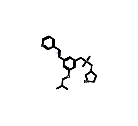 CC(C)COc1cc(/C=C/c2cccnc2)cc(C[N+](C)(C)CC2CCNC2)c1